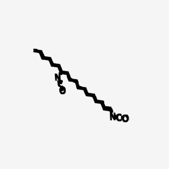 CCCCCCC(CCCCCCCCCC=CN=C=O)N=C=O